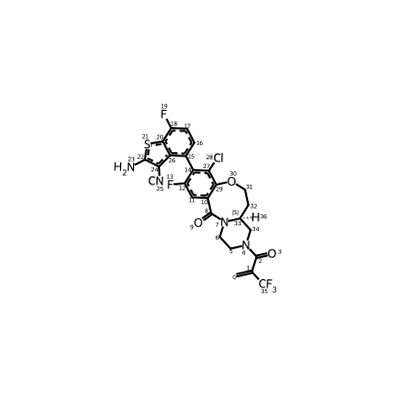 C=C(C(=O)N1CCN2C(=O)c3cc(F)c(-c4ccc(F)c5sc(N)c(C#N)c45)c(Cl)c3OCC[C@H]2C1)C(F)(F)F